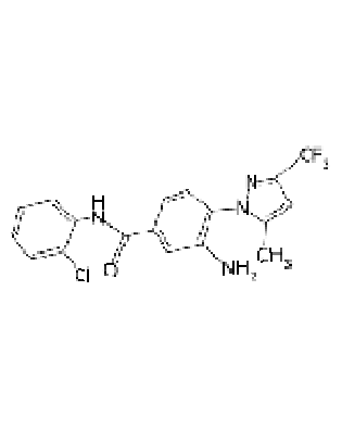 Cc1cc(C(F)(F)F)nn1-c1ccc(C(=O)Nc2ccccc2Cl)cc1N